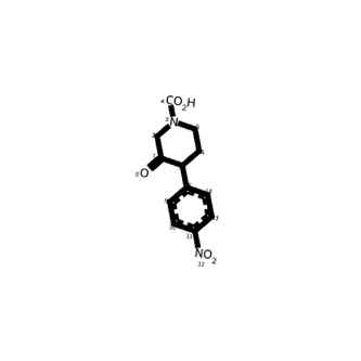 O=C1CN(C(=O)O)CCC1c1ccc([N+](=O)[O-])cc1